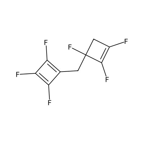 FC1=C(F)C(F)(CC2=C(F)C(F)=C2F)C1